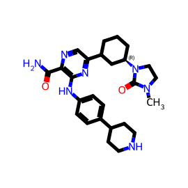 CN1CCN([C@@H]2CCCC(c3cnc(C(N)=O)c(Nc4ccc(C5CCNCC5)cc4)n3)C2)C1=O